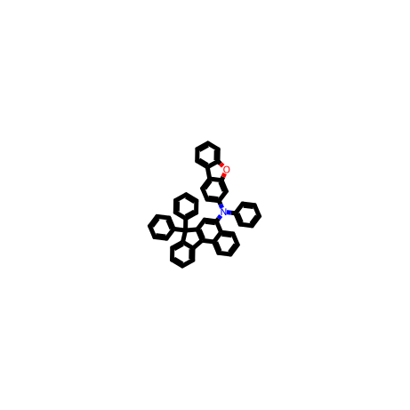 c1ccc(N(c2ccc3c(c2)oc2ccccc23)c2cc3c(c4ccccc24)-c2ccccc2C3(c2ccccc2)c2ccccc2)cc1